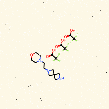 C1CN(CCN2CC3(CNC3)C2)CCO1.O=C(O)C(F)(F)F.O=C(O)C(F)(F)F.O=C(O)C(F)(F)F